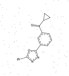 CC(C)c1nnc(-c2cccc(C(=O)C3CC3)c2)o1